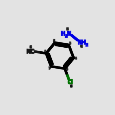 N#Cc1cccc(Cl)c1.NN